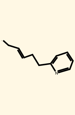 [CH2]CC=CCCc1ccccn1